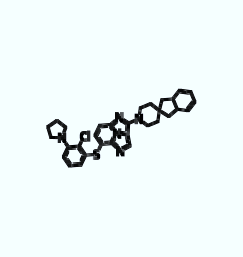 Clc1c(Sc2ccc3nc(N4CCC5(CC4)CC4C=CC=CC4C5)c4cnc2n34)cccc1N1CCCC1